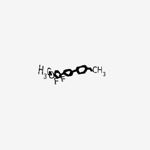 CCCC1CCC(c2ccc(-c3ccc(OC)c(F)c3F)cc2)CC1